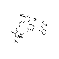 CCCCCC(=O)O[C@H](/C=C/[C@@H]1[C@@H](C/C=C\CCCC(=O)NCC)[C@@H](O)C[C@@H]1O)CCc1ccccc1O[N+](=O)[O-]